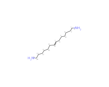 NCCCCCCC=CCCCCCCN